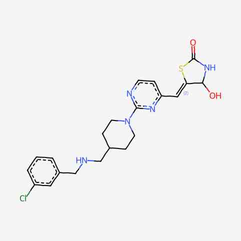 O=C1NC(O)/C(=C/c2ccnc(N3CCC(CNCc4cccc(Cl)c4)CC3)n2)S1